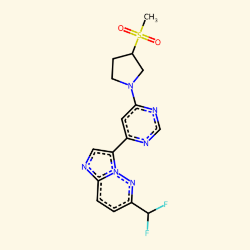 CS(=O)(=O)C1CCN(c2cc(-c3cnc4ccc(C(F)F)nn34)ncn2)C1